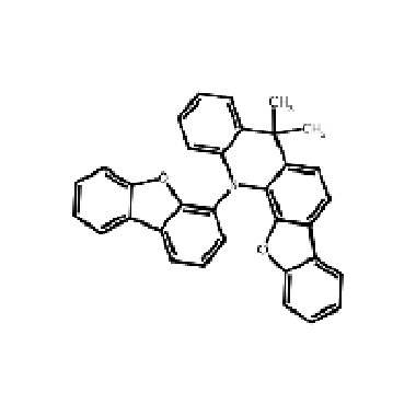 CC1(C)c2ccccc2N(c2cccc3c2oc2ccccc23)c2c1ccc1c2oc2ccccc21